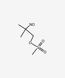 CC(C)(COS(C)(=O)=O)N=O